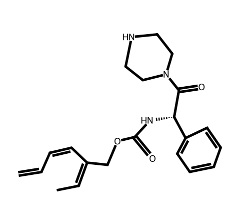 C=C/C=C\C(=C/C)COC(=O)N[C@H](C(=O)N1CCNCC1)c1ccccc1